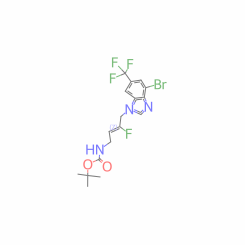 CC(C)(C)OC(=O)NC/C=C(\F)Cn1cnc2c(Br)cc(C(F)(F)F)cc21